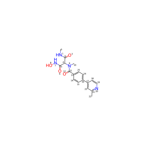 CNC(=O)C(C(=O)NO)N(C)C(=O)c1ccc(-c2ccnc(C)c2)cc1